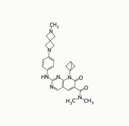 CN1CC2(C1)CN(c1ccc(Nc3ncc4cc(C(=O)N(C)C)c(=O)n(C56CC(C5)C6)c4n3)cc1)C2